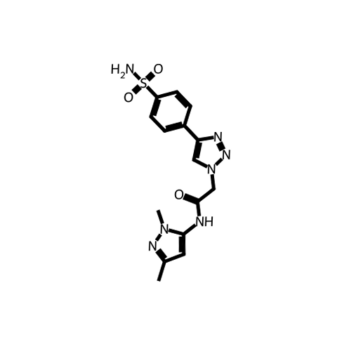 Cc1cc(NC(=O)Cn2cc(-c3ccc(S(N)(=O)=O)cc3)nn2)n(C)n1